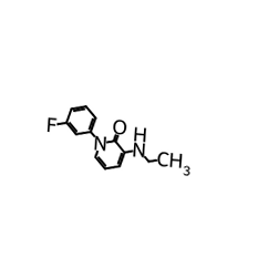 CCNc1cccn(-c2cccc(F)c2)c1=O